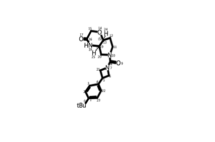 CC(C)(C)c1ccc(C2CN(C(=O)N3CC[C@@H]4OCC(=O)N[C@@H]4C3)C2)cc1